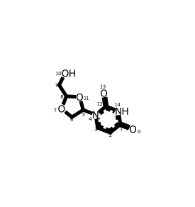 O=c1ccn(C2COC(CO)O2)c(=O)[nH]1